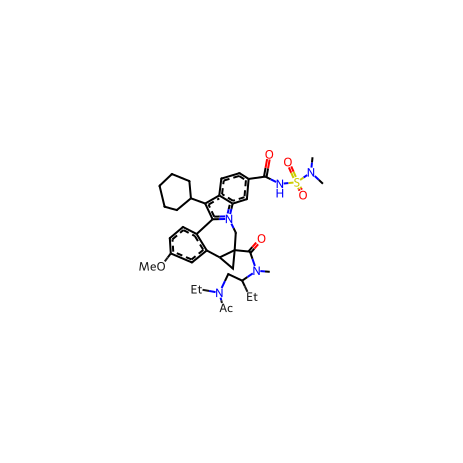 CCC(CN(CC)C(C)=O)N(C)C(=O)C12CC1c1cc(OC)ccc1-c1c(C3CCCCC3)c3ccc(C(=O)NS(=O)(=O)N(C)C)cc3n1C2